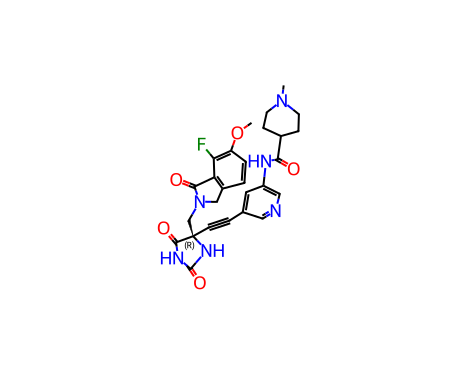 COc1ccc2c(c1F)C(=O)N(C[C@@]1(C#Cc3cncc(NC(=O)C4CCN(C)CC4)c3)NC(=O)NC1=O)C2